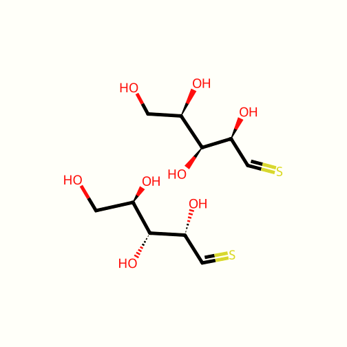 OC[C@@H](O)[C@@H](O)[C@H](O)C=S.OC[C@@H](O)[C@H](O)[C@@H](O)C=S